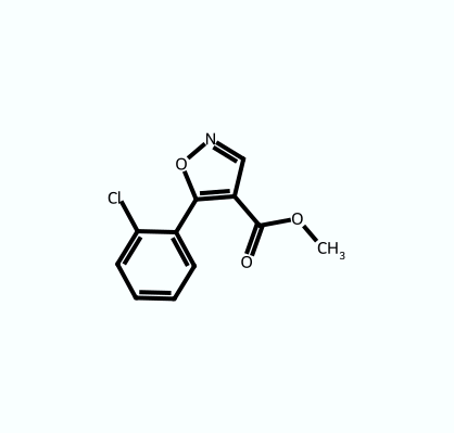 COC(=O)c1cnoc1-c1ccccc1Cl